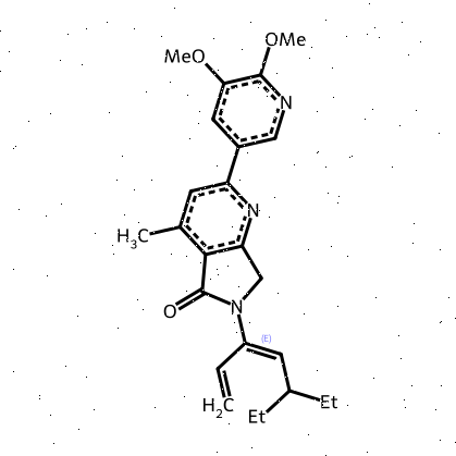 C=C/C(=C\C(CC)CC)N1Cc2nc(-c3cnc(OC)c(OC)c3)cc(C)c2C1=O